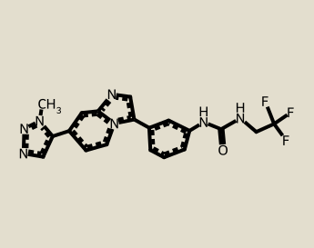 Cn1nncc1-c1ccn2c(-c3cccc(NC(=O)NCC(F)(F)F)c3)cnc2c1